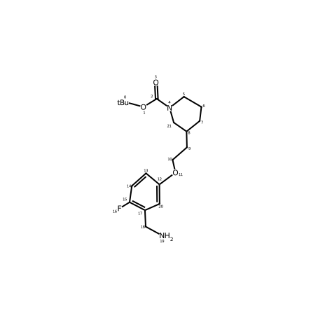 CC(C)(C)OC(=O)N1CCCC(CCOc2ccc(F)c(CN)c2)C1